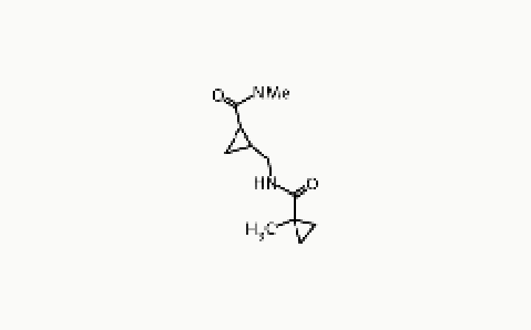 CNC(=O)C1CC1CNC(=O)C1(C)CC1